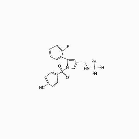 [2H]C([2H])([2H])NCc1cc(-c2ccccc2F)n(S(=O)(=O)c2ccc(C#N)cc2)c1